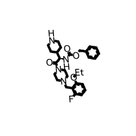 CCOc1cccc(F)c1CN1CCN(C(=O)[C@H](NC(=O)OCc2ccccc2)C2CCNCC2)CC1